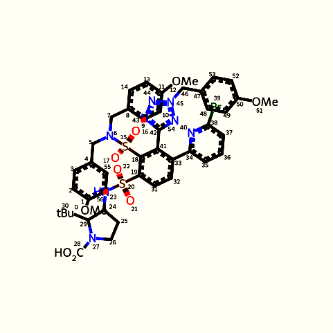 COc1ccc(CN(Cc2ccc(OC)cc2)S(=O)(=O)c2c(S(=O)(=O)NC3CCN(C(=O)O)C3C(C)(C)C)ccc(-c3cccc(Br)n3)c2-c2nnn(Cc3ccc(OC)cc3)n2)cc1